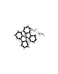 CB(C)c1cccc2c1-c1ccccc1C21c2ccccc2-c2ccccc21